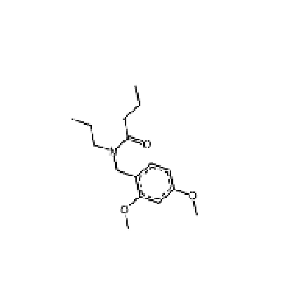 CCCC(=O)N(CCC)Cc1ccc(OC)cc1OC